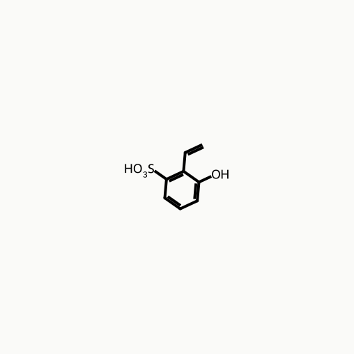 C=Cc1c(O)cccc1S(=O)(=O)O